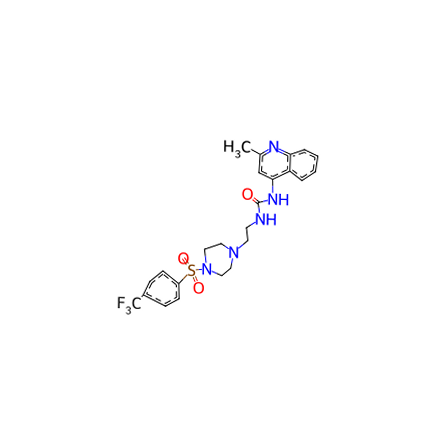 Cc1cc(NC(=O)NCCN2CCN(S(=O)(=O)c3ccc(C(F)(F)F)cc3)CC2)c2ccccc2n1